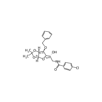 CC1(C)O[C@H]2O[C@H]([C@H](O)CNC(=O)c3ccc(Cl)cc3)[C@H](OCc3ccccc3)[C@H]2O1